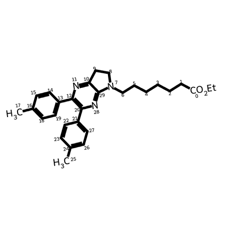 CCOC(=O)CCCCCCN1CCc2nc(-c3ccc(C)cc3)c(-c3ccc(C)cc3)nc21